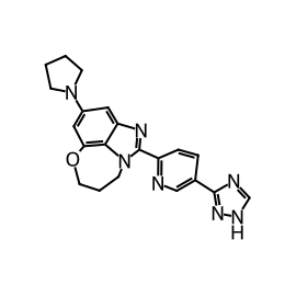 c1nc(-c2ccc(-c3nc4cc(N5CCCC5)cc5c4n3CCCO5)nc2)n[nH]1